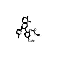 COc1ccc(C(CC2=CC=CC(C)N2C)C(=O)c2ccc(C)s2)c(NC(=O)OC(C)(C)C)c1